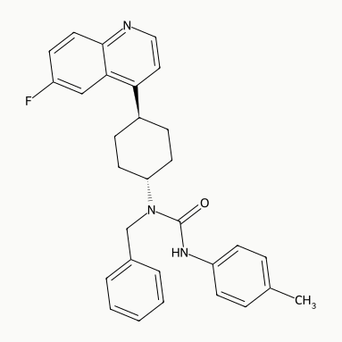 Cc1ccc(NC(=O)N(Cc2ccccc2)[C@H]2CC[C@H](c3ccnc4ccc(F)cc43)CC2)cc1